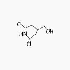 OCC1CC(Cl)NC(Cl)C1